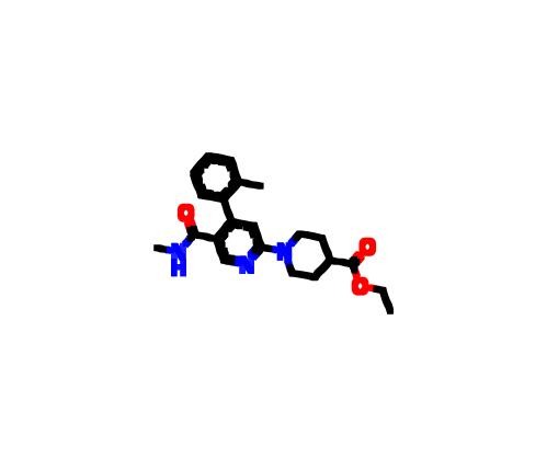 CCOC(=O)C1CCN(c2cc(-c3ccccc3C)c(C(=O)NC)cn2)CC1